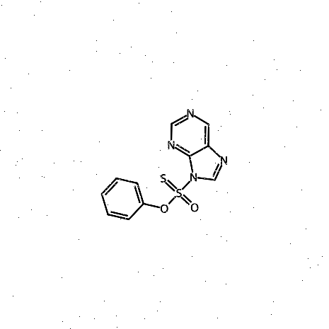 O=S(=S)(Oc1ccccc1)n1cnc2cncnc21